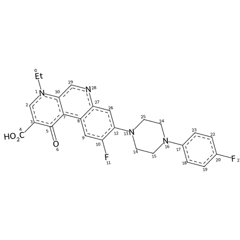 CCn1cc(C(=O)O)c(=O)c2c3cc(F)c(N4CCN(c5ccc(F)cc5)CC4)cc3ncc21